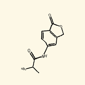 CCCCC(C)C(=O)Nc1ccc2c(c1)COC2=O